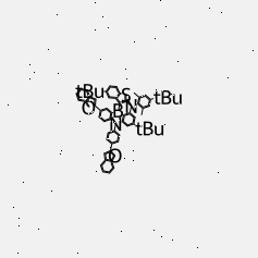 Cc1cc(C(C)(C)C)cc(C)c1N1c2cc(C(C)(C)C)cc3c2B(c2cc(-c4cc5ccccc5o4)ccc2N3c2ccc(-c3cc4ccccc4o3)cc2)c2c1sc1ccc(C(C)(C)C)cc21